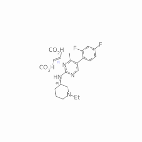 CCN1CCC[C@@H](Nc2ncc(-c3ccc(F)cc3F)c(C)n2)C1.O=C(O)/C=C/C(=O)O